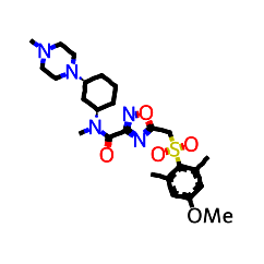 COc1cc(C)c(S(=O)(=O)Cc2nc(C(=O)N(C)[C@H]3CCC[C@@H](N4CCN(C)CC4)C3)no2)c(C)c1